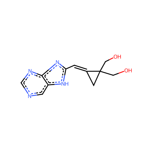 OCC1(CO)C/C1=C\c1nc2ncncc2[nH]1